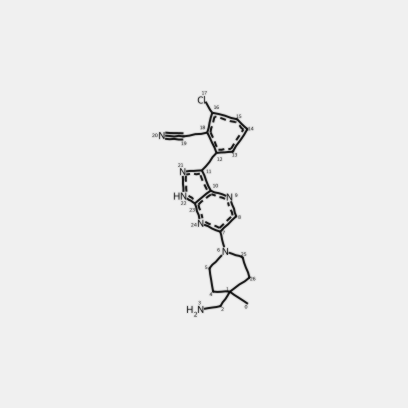 CC1(CN)CCN(c2cnc3c(-c4cccc(Cl)c4C#N)n[nH]c3n2)CC1